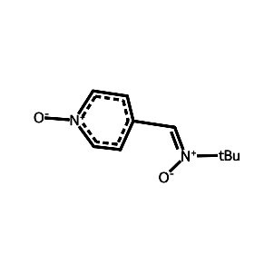 CC(C)(C)[N+]([O-])=Cc1cc[n+]([O-])cc1